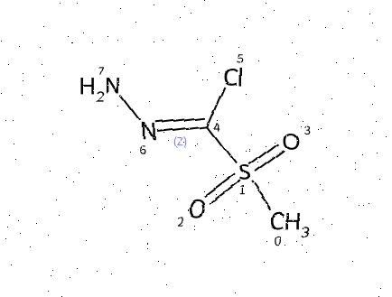 CS(=O)(=O)/C(Cl)=N/N